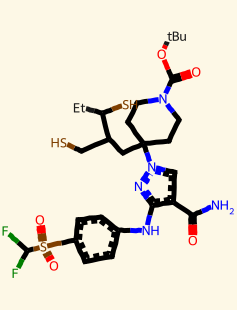 CCC(S)C(CS)CC1(n2cc(C(N)=O)c(Nc3ccc(S(=O)(=O)C(F)F)cc3)n2)CCN(C(=O)OC(C)(C)C)CC1